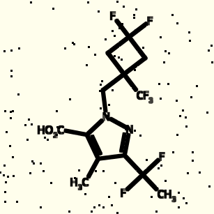 Cc1c(C(C)(F)F)nn(CC2(C(F)(F)F)CC(F)(F)C2)c1C(=O)O